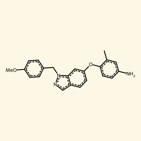 COc1ccc(Cn2ncc3ccc(Oc4ccc(N)cc4C)cc32)cc1